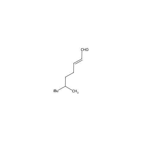 CCC(C)C(C)CCC=CC=O